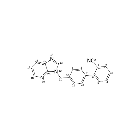 N#Cc1ccccc1-c1ccc(Cn2cnc3cccnc32)cc1